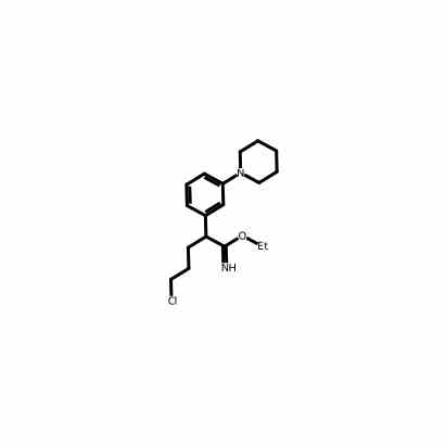 CCOC(=N)C(CCCCl)c1cccc(N2CCCCC2)c1